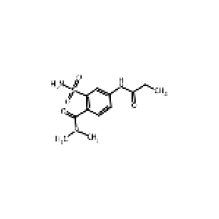 CCC(=O)Nc1ccc(C(=O)N(C)C)c(S(N)(=O)=O)c1